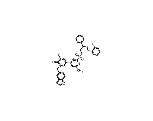 Cc1cc(-c2cc(F)c(=O)n(Cc3ccc4ocnc4c3)c2)nc(S(=O)(=O)CCC(OCc2ccccc2F)c2ccccc2)n1